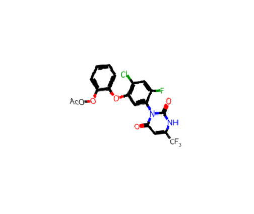 CC(=O)OOc1ccccc1Oc1cc(-n2c(=O)cc(C(F)(F)F)[nH]c2=O)c(F)cc1Cl